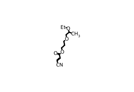 CCOC(C)COCCCOC(=O)C=CC#N